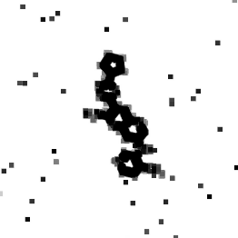 Cc1ccncc1Nc1cnc2cc(-c3nnc(C4CCCC4)s3)c(N)nc2c1